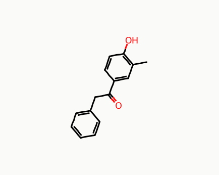 Cc1cc(C(=O)Cc2ccccc2)ccc1O